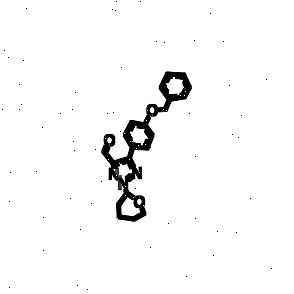 O=Cc1nn(C2CCCCO2)nc1-c1ccc(OCc2ccccc2)cc1